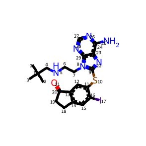 CC(C)(C)CNCCn1c(Sc2cc3c(cc2I)CCC3=O)nc2c(N)ncnc21